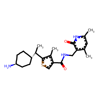 Cc1cc(C)c(CNC(=O)c2csc(C(C)[C@H]3CC[C@H](N)CC3)c2C)c(=O)[nH]1